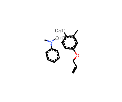 C=CCOc1ccc(C=O)c(C)c1.CN(C=O)c1ccccc1